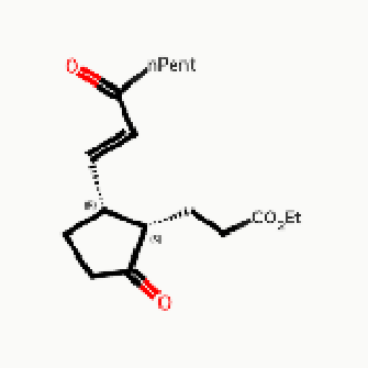 CCCCCC(=O)C=C[C@H]1CCC(=O)[C@H]1CCC(=O)OCC